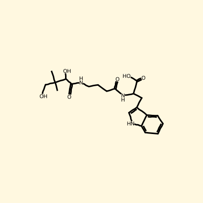 CC(C)(CO)C(O)C(=O)NCCCC(=O)NC(Cc1c[nH]c2ccccc12)C(=O)O